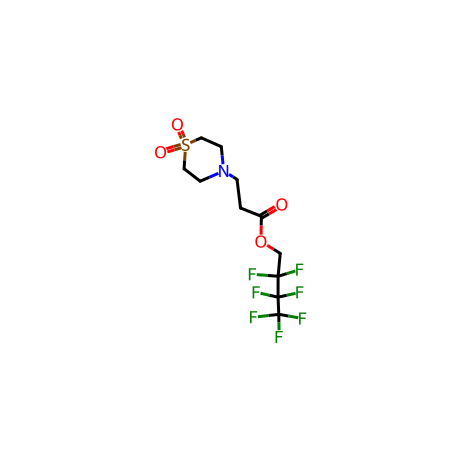 O=C(CCN1CCS(=O)(=O)CC1)OCC(F)(F)C(F)(F)C(F)(F)F